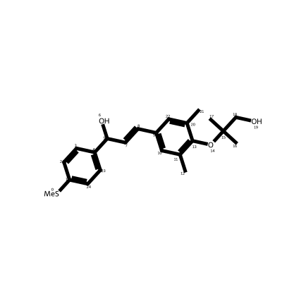 CSc1ccc(C(O)C=Cc2cc(C)c(OC(C)(C)CO)c(C)c2)cc1